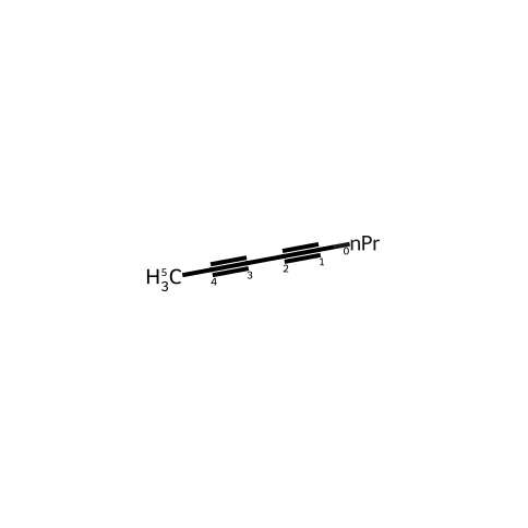 [CH2]CCC#CC#CC